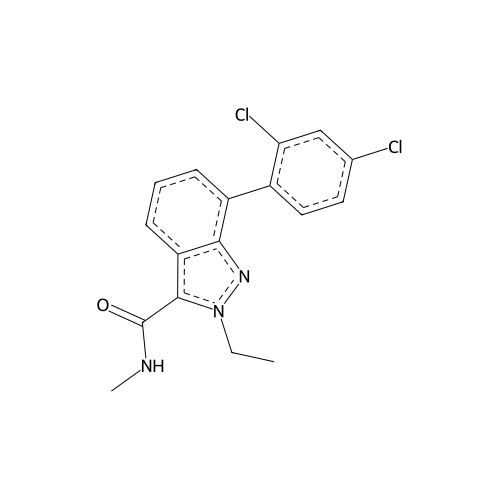 CCn1nc2c(-c3ccc(Cl)cc3Cl)cccc2c1C(=O)NC